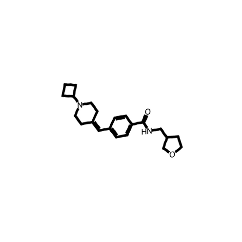 O=C(NCC1CCOC1)c1ccc(C=C2CCN(C3CCC3)CC2)cc1